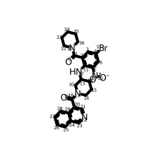 O=C(c1cc(Br)cc([N+](=O)[O-])c1NC1CCCN(C(=O)c2cncc3ccccc23)C1)N1CCCCC1